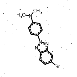 CN(C)c1ccc(-n2nc3ccc(Br)cc3n2)cc1